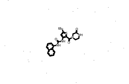 CC(C)(C)c1cc(NC(=O)Nc2cccc3ccccc23)c(C(=O)N2CCNC(=O)C2)s1